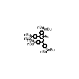 CCCCN(CCCC)c1ccc(C(=CC(C=C(c2ccc(N(CCCC)CCCC)cc2)c2ccc(N(CCCC)CCCC)cc2)C(C(C)=O)C(C)=O)c2ccc(N(CCCC)CCCC)cc2)cc1